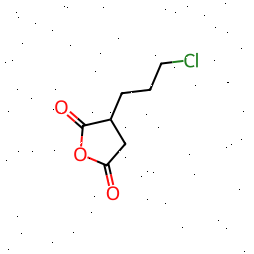 O=C1CC(CCCCl)C(=O)O1